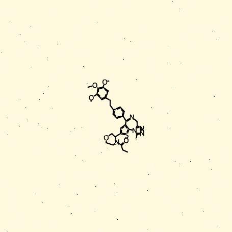 CCC(=O)N1CCOCC1c1cc2c(s1)-n1c(C)nnc1CN=C2c1ccc(CCc2cc(OC)c(OC)c(OC)c2)cc1